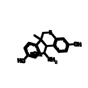 CCCCCCCCC(N)C1c2ccc(O)cc2SCC1(C)c1ccc(O)cc1